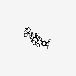 CC(C)(C)OC(=O)NCC1(C)Cc2ncn(-c3ccc(F)c(F)c3)c2C(=O)O1